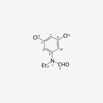 [CH2]CN(C=O)c1cc(Cl)cc(Cl)c1